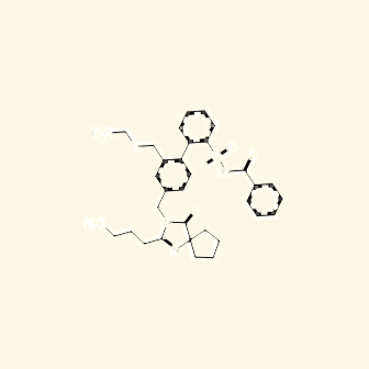 CCCCC1=NC2(CCCC2)C(=O)N1Cc1ccc(-c2ccccc2S(=O)(=O)NC(=O)c2ccccc2)c(COCC)c1